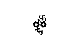 CN(C)CC(C)(C)c1cccc([N+](C)(C(=O)[O-])c2ccccc2)c1